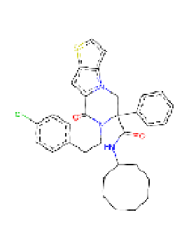 O=C1c2cc3sccc3n2CC(C(=O)NC2CCCCCCC2)(c2ccccc2)N1CCc1ccc(Cl)cc1